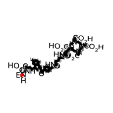 CCNC(=O)NC(CCCCN(Cc1ccc(C)cc1)C(=O)c1ccc(CNC(=O)CCCCNC(=O)CCC(C(=O)O)N2CCN(CC(=O)O)CCN(CC(=O)O)CCN(CC(=O)O)CC2)cc1)C(=O)O